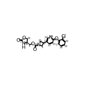 O=C1N[C@H](COC(=O)N2CC(c3ccc(Oc4ccccc4Cl)nc3)C2)CO1